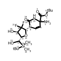 CC(C)(C)OC(=O)C1(N)C=CN([C@@H]2O[C@H](C(O)[Si](C)(C)C(C)(C)C)[C@@H](O)C2(F)F)C(=O)N1